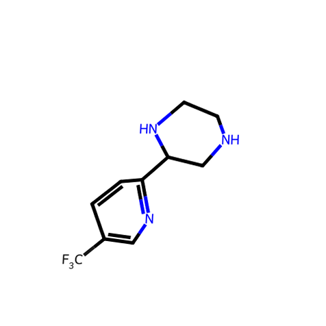 FC(F)(F)c1ccc(C2CNCCN2)nc1